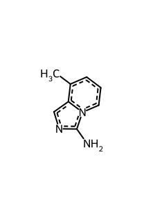 Cc1cccn2c(N)ncc12